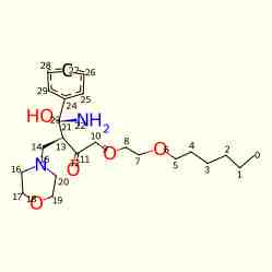 CCCCCCOCCOCC(=O)[C@@H](CN1CCOCC1)[C@](N)(O)c1ccccc1